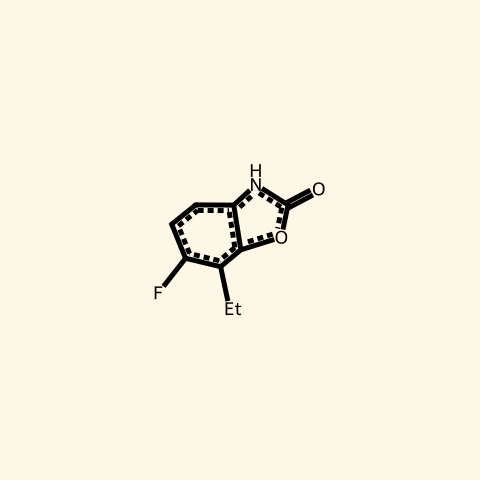 CCc1c(F)ccc2[nH]c(=O)oc12